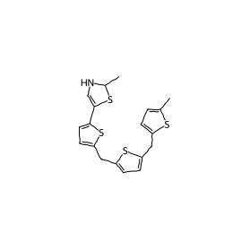 Cc1ccc(Cc2ccc(Cc3ccc(C4=CNC(C)S4)s3)s2)s1